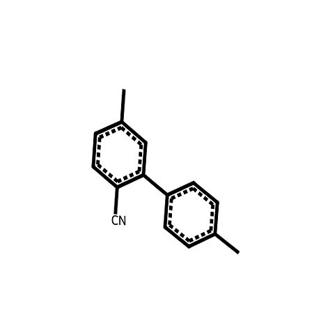 Cc1ccc(-c2cc(C)ccc2C#N)cc1